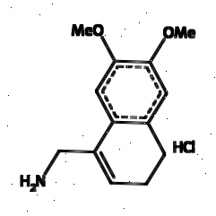 COc1cc2c(cc1OC)C(CN)=CCC2.Cl